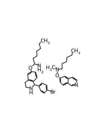 CCCCCCC(N)Oc1ccc2c(c1)CCNC2c1ccc(Br)cc1.CCCCCCN(C)Oc1ccc2cnccc2c1